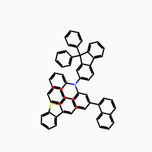 c1ccc(-c2ccc(-c3cccc4ccccc34)cc2N(c2ccc3c(c2)C(c2ccccc2)(c2ccccc2)c2ccccc2-3)c2ccccc2-c2cccc3c2sc2ccccc23)cc1